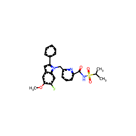 COc1cc2cc(-c3ccccc3)n(Cc3cccc(C(=O)NS(=O)(=O)C(C)C)n3)c2cc1F